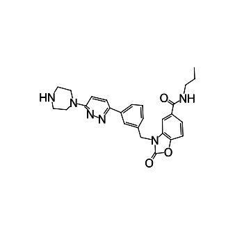 CCCNC(=O)c1ccc2oc(=O)n(Cc3cccc(-c4ccc(N5CCNCC5)nn4)c3)c2c1